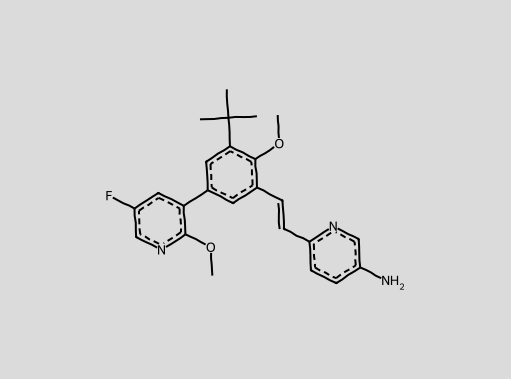 COc1ncc(F)cc1-c1cc(C=Cc2ccc(N)cn2)c(OC)c(C(C)(C)C)c1